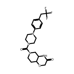 O=C1COC2CCN(C(=O)N3CCN(c4ccc(CC(F)(F)F)cc4)CC3)CC2N1